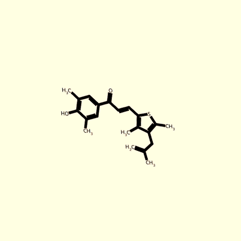 C=C(C)Cc1c(C)sc(C=CC(=O)c2cc(C)c(O)c(C)c2)c1C